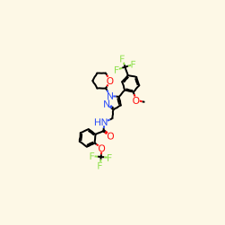 COc1ccc(C(F)(F)F)cc1-c1cc(CNC(=O)c2ccccc2OC(F)(F)F)nn1C1CCCCO1